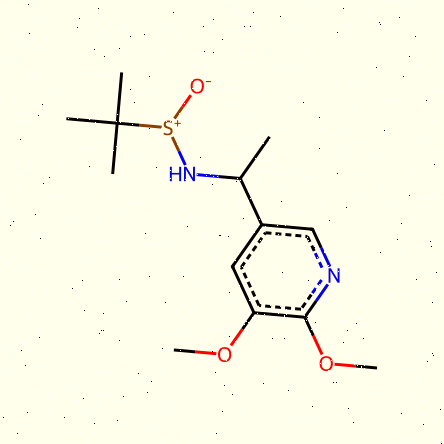 COc1cc(C(C)N[S+]([O-])C(C)(C)C)cnc1OC